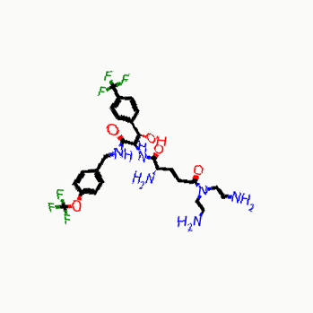 NCCN(CCN)C(=O)CC[C@H](N)C(=O)NC(C(=O)NCc1ccc(OC(F)(F)F)cc1)[C@H](O)c1ccc(C(F)(F)F)cc1